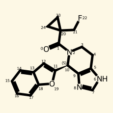 O=C(N1CCc2[nH]cnc2[C@H]1c1cc2ccccc2o1)C1(CF)CC1